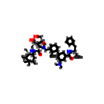 COC[C@@H](Cc1ccccc1)NC(=O)c1cc(-c2cccc(CN3O[C@@H](CO)[C@@H]([C@H](C)O)[C@H]3C(=O)N[C@H]3C[C@@H](C)C(C)(C)[C@@H](C)[C@@H]3C)c2OC)cc(N(C)C)c1